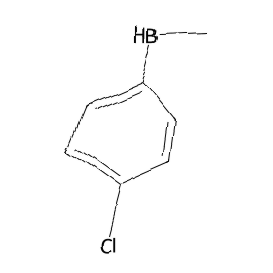 CBc1ccc(Cl)cc1